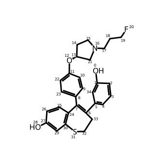 Oc1cccc(C2=C(c3ccc(O[C@H]4CCN(CCCF)C4)cc3)c3ccc(O)cc3SCC2)c1